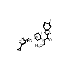 CCN(C(=O)c1nc2cc(F)ccc2[nH]1)[C@H]1CCC[C@@H](NCc2cc(C3CC3)on2)C1